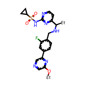 CCOc1cncc(-c2ccc(CNC(CC)c3ccnc(NS(=O)(=O)C4CC4)n3)c(F)c2)n1